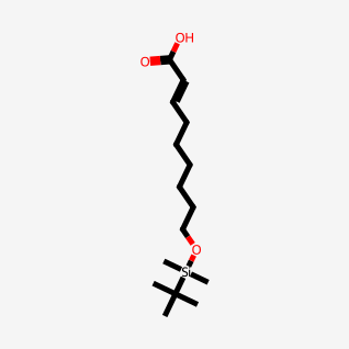 CC(C)(C)[Si](C)(C)OCCCCCCC=CC(=O)O